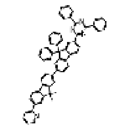 CC1(C)c2cc(-c3ccc4c(c3)C(c3ccccc3)(c3ccccc3)c3cc(-c5nc(-c6ccccc6)nc(-c6ccccc6)n5)ccc3-4)ccc2-c2ccc(-c3ccccn3)cc21